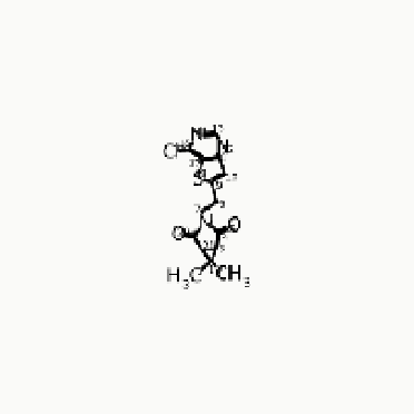 CC1(C)C2C(=O)N(CCc3cc4ncnc(Cl)c4s3)C(=O)C21